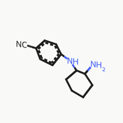 N#Cc1ccc(NC2CCCCC2N)cc1